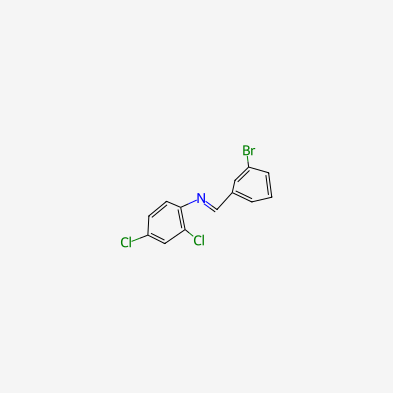 Clc1ccc(N=Cc2cccc(Br)c2)c(Cl)c1